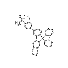 CP(C)(=O)c1ccc(-c2ccc3c(c2)-c2cc4ccccc4cc2C32c3ccccc3-c3ccccc32)cc1